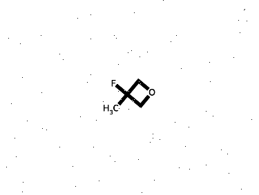 CC1(F)COC1